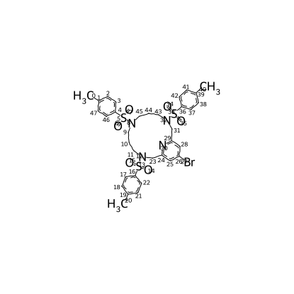 Cc1ccc(S(=O)(=O)N2CCCN(S(=O)(=O)c3ccc(C)cc3)Cc3cc(Br)cc(n3)CN(S(=O)(=O)c3ccc(C)cc3)CCC2)cc1